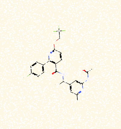 CC(=O)Nc1cc(C(C)NC(=O)c2ccc(OCC(F)(F)F)nc2-c2ccc(F)cc2)cc(C)n1